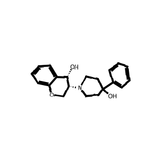 O[C@H]1c2ccccc2OC[C@H]1N1CCC(O)(c2ccccc2)CC1